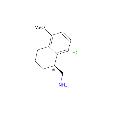 COc1cccc2c1CCC[C@@H]2CN.Cl